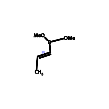 C/C=C/B(OC)OC